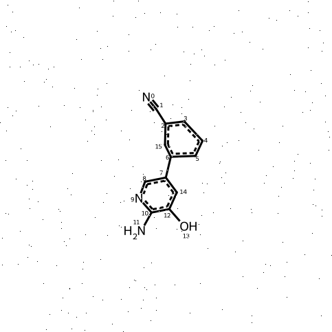 N#Cc1cccc(-c2cnc(N)c(O)c2)c1